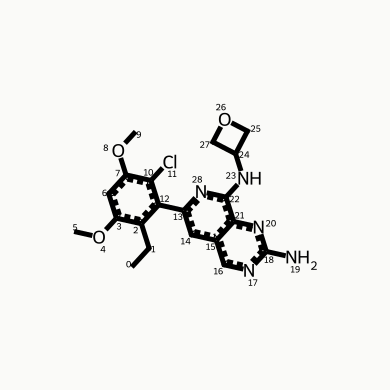 CCc1c(OC)cc(OC)c(Cl)c1-c1cc2cnc(N)nc2c(NC2COC2)n1